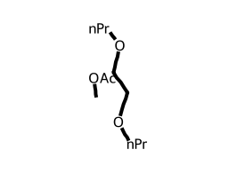 CCCOCCOCCC.COC(C)=O